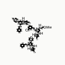 COCCNc1cc(Nc2cc(C)n[nH]2)nc(SCc2cccc(Cl)c2)n1.Cc1cc(Nc2cc(N3CCN(C)CC3)nc(SCc3ccccc3)n2)[nH]n1.Cc1cc(Nc2cc(N3CCOCC3)nc(SCc3ccccc3)n2)[nH]n1